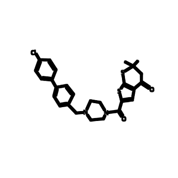 CC1(C)CC(=O)c2cc(C(=O)N3CCN(Cc4ccc(-c5ccc(Cl)cc5)cc4)CC3)sc2S1